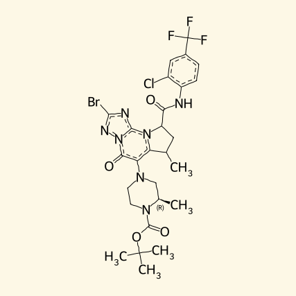 CC1CC(C(=O)Nc2ccc(C(F)(F)F)cc2Cl)n2c1c(N1CCN(C(=O)OC(C)(C)C)[C@H](C)C1)c(=O)n1nc(Br)nc21